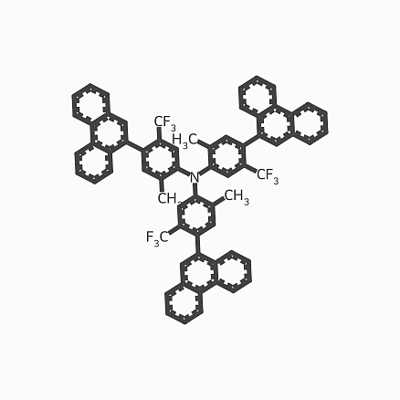 Cc1cc(-c2cc3ccccc3c3ccccc23)c(C(F)(F)F)cc1N(c1cc(C(F)(F)F)c(-c2cc3ccccc3c3ccccc23)cc1C)c1cc(C(F)(F)F)c(-c2cc3ccccc3c3ccccc23)cc1C